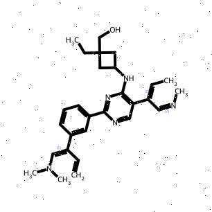 C=C/C(=C\N(C)C)c1cccc(-c2ncc(C(/C=N\C)=C/C)c(NC3CC(CC)(CO)C3)n2)c1